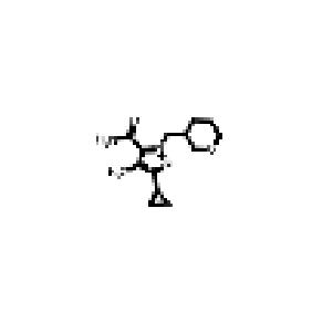 NC(=O)c1c(C(F)(F)F)c(C2CC2)nn1CC1CCCOC1